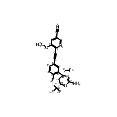 COc1cc(C#N)cnc1C#Cc1ccc(F)c([C@]2(CF)C[C@@H](C(F)(F)F)OC(N)=N2)c1